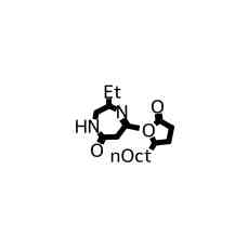 CCC1CNC(=O)CC(C)=N1.CCCCCCCCC1CCC(=O)O1